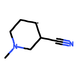 CN1CC[CH]C(C#N)C1